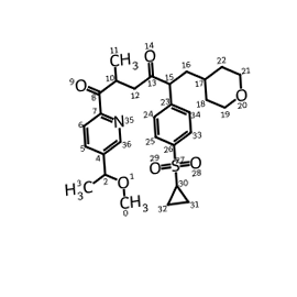 COC(C)c1ccc(C(=O)C(C)CC(=O)C(CC2CCOCC2)c2ccc(S(=O)(=O)C3CC3)cc2)nc1